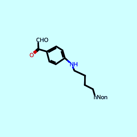 CCCCCCCCCCCCCNc1ccc(C(=O)C=O)cc1